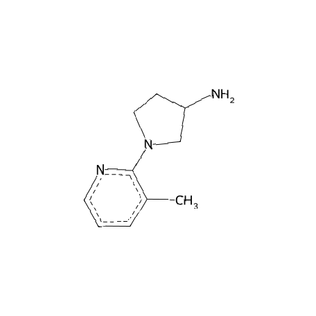 Cc1cccnc1N1CCC(N)C1